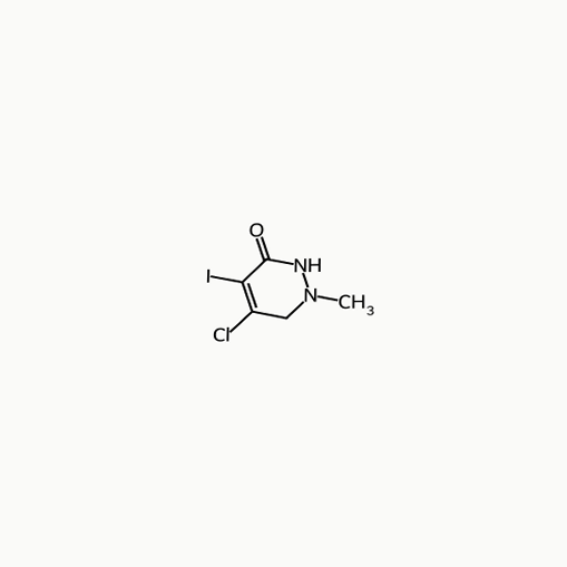 CN1CC(Cl)=C(I)C(=O)N1